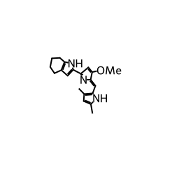 COC1=CC(c2cc3c([nH]2)CCCC3)=NC1=Cc1[nH]c(C)cc1C